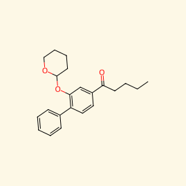 CCCCC(=O)c1ccc(-c2ccccc2)c(OC2CCCCO2)c1